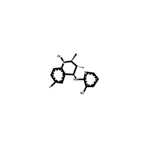 CC(=O)N1c2ccc(F)cc2[C@H](Nc2ncccc2C#N)[C@@H](C)[C@@H]1C